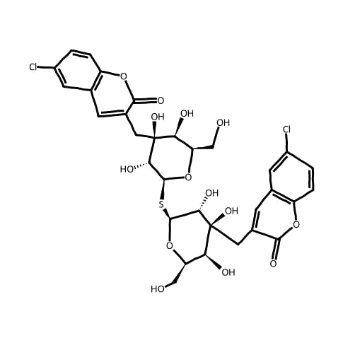 O=c1oc2ccc(Cl)cc2cc1C[C@]1(O)[C@@H](O)[C@@H](CO)O[C@@H](S[C@@H]2O[C@H](CO)[C@H](O)[C@@](O)(Cc3cc4cc(Cl)ccc4oc3=O)[C@H]2O)[C@@H]1O